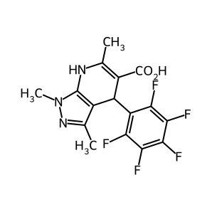 CC1=C(C(=O)O)C(c2c(F)c(F)c(F)c(F)c2F)c2c(C)nn(C)c2N1